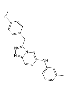 COc1ccc(Cc2nnc3ccc(Nc4cccc(C)c4)nn23)cc1